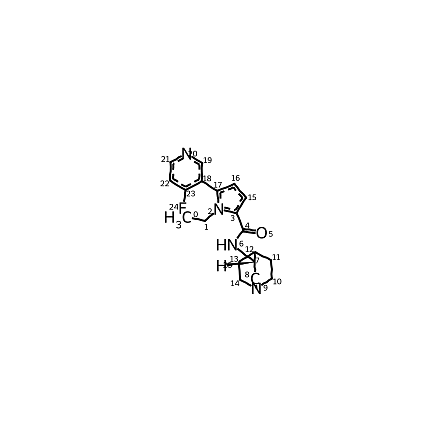 CCn1c(C(=O)N[C@H]2CN3CCC2CC3)ccc1-c1cnccc1F